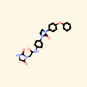 O=C(CN1C(=O)CNC1=O)Nc1ccc(-n2ccn(-c3ccc(Oc4ccccc4)cc3)c2=O)cc1